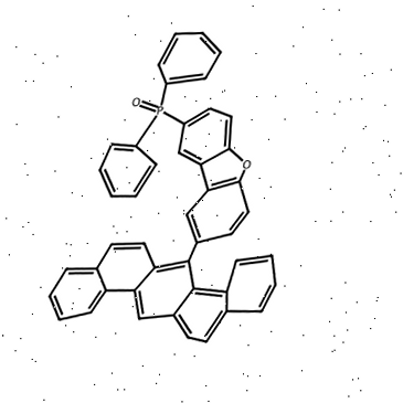 O=P(c1ccccc1)(c1ccccc1)c1ccc2oc3ccc(-c4c5ccc6ccccc6c5cc5ccc6ccccc6c45)cc3c2c1